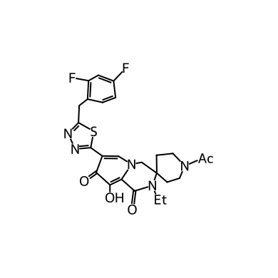 CCN1C(=O)c2c(O)c(=O)c(-c3nnc(Cc4ccc(F)cc4F)s3)cn2CC12CCN(C(C)=O)CC2